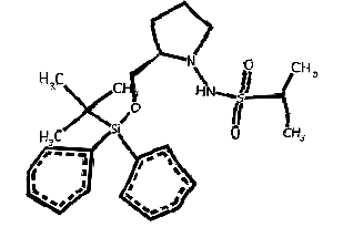 CC(C)S(=O)(=O)NN1CCC[C@@H]1CO[Si](c1ccccc1)(c1ccccc1)C(C)(C)C